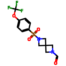 O=CN1CC2(C1)CN(S(=O)(=O)c1ccc(OC(F)(F)F)cc1)C2